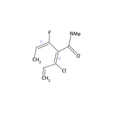 C=C/C(Cl)=C(C(=O)NC)\C(F)=C/C